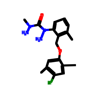 Cc1cc(OCc2c(C)cccc2N(N)C(=O)N(C)N)c(C)cc1Br